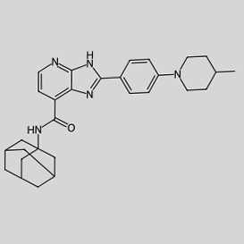 CC1CCN(c2ccc(-c3nc4c(C(=O)NC56CC7CC(CC(C7)C5)C6)ccnc4[nH]3)cc2)CC1